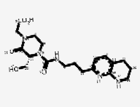 O=C(O)CN1CCN(C(=O)NCCCc2ccc3c(n2)NCCC3)[C@H](CO)C1=O